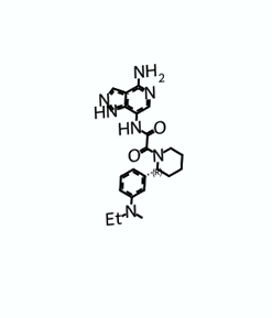 CCN(C)c1cccc([C@H]2CCCCN2C(=O)C(=O)Nc2cnc(N)c3cn[nH]c23)c1